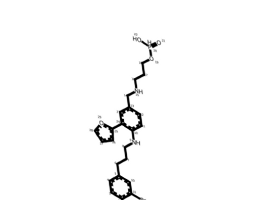 CC(C)Oc1ccc(CCCNc2ccc(CNCCCO[PH](=O)O)cc2-c2ccco2)cc1Br